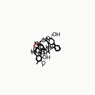 COc1c(C)cc2c(c1O)[C@H]1N[C@@H](C2)[C@H](C)N2[C@H]1[C@@H]1SC[C@]3(N[C@H](CO)Cc4c3[nH]c3ccccc43)C(=O)OC[C@H]2c2c3c(c(C)c(OC(C)=O)c21)OCO3